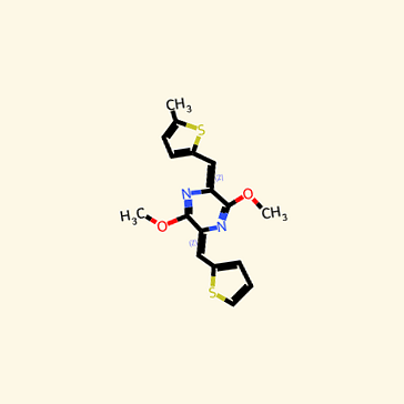 COc1n/c(=C\c2ccc(C)s2)c(OC)n/c1=C\c1cccs1